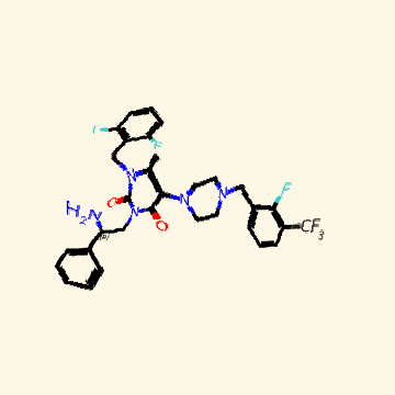 Cc1c(N2CCN(Cc3cccc(C(F)(F)F)c3F)CC2)c(=O)n(C[C@H](N)c2ccccc2)c(=O)n1Cc1c(F)cccc1F